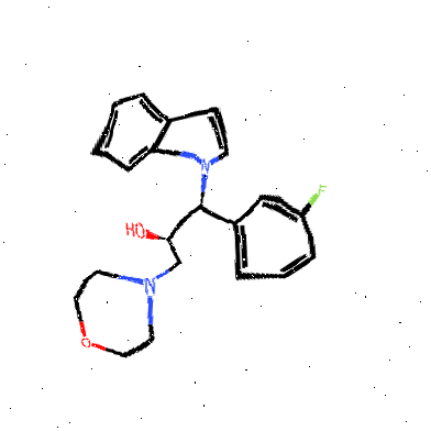 O[C@H](CN1CCOCC1)[C@H](c1cccc(F)c1)n1ccc2ccccc21